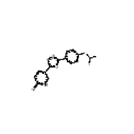 O=c1ccc(-c2nnc(-c3ccc(OC(F)F)cc3)o2)c[nH]1